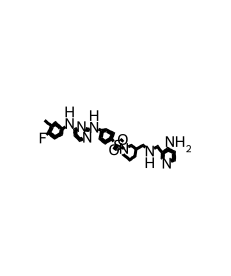 Cc1cc(Nc2ccnc(Nc3ccc(S(=O)(=O)N4CCCC(CNCc5cnccc5N)C4)cc3)n2)ccc1F